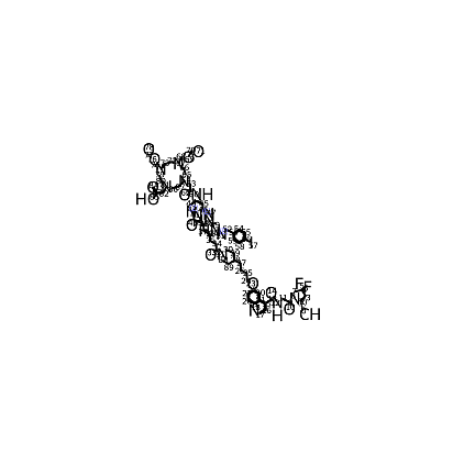 C#C[C@H]1CC(F)(F)CN1C(=O)CNC(=O)c1ccnc2ccc(OCCCCC3CCN(C(=O)CCCCCC(=O)N/N=C\C(C/C=N/NCN/N=C/c4ccc(I)cc4)NC(=O)CN4CCN(COC=O)CCN(COC=O)CCN(CC(=O)O)CC4)CC3)cc12